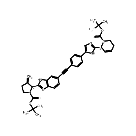 C=C1CCN(C(=O)OC(C)(C)C)[C@@H]1c1nc2ccc(C#Cc3ccc(-c4cnc([C@@H]5C=CCCN5C(=O)OC(C)(C)C)[nH]4)cc3)cc2[nH]1